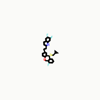 Fc1cc2ccc(C=Cc3ccc4c(c3)C(SCC3CC3)c3cccc(F)c3CO4)nc2cc1F